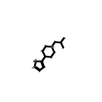 C[C](C)CN1CCC(c2ccn[nH]2)CC1